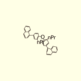 CCCc1cc(-c2cccc3ccccc23)ccc1Oc1ccc(-c2cccc3ccccc23)cc1CCC